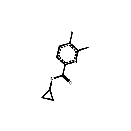 Cc1nc(C(=O)NC2CC2)ccc1Br